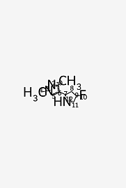 Cc1nn(C)cc1C1CC(F)CN1